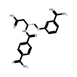 N=C(N)c1cccc(OC[C@@H](CC(=O)O)NC(=O)c2ccc(C(N)=O)cc2)c1